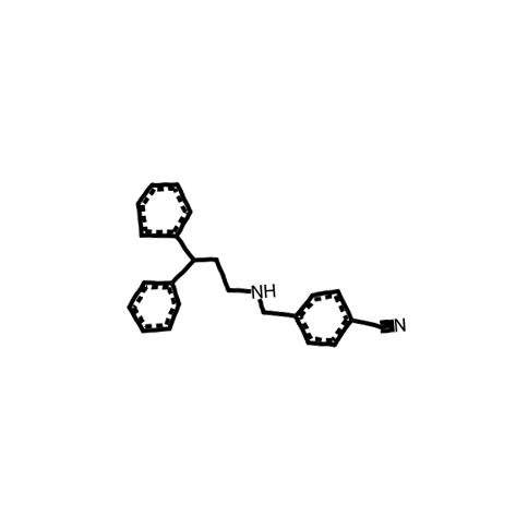 N#Cc1ccc(CNCCC(c2ccccc2)c2ccccc2)cc1